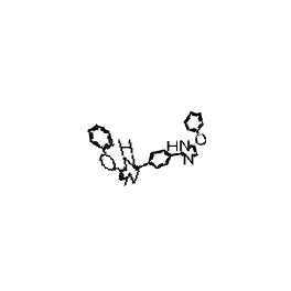 c1ccc(Oc2cnc(-c3ccc(-c4ncc(Oc5ccccc5)[nH]4)cc3)[nH]2)cc1